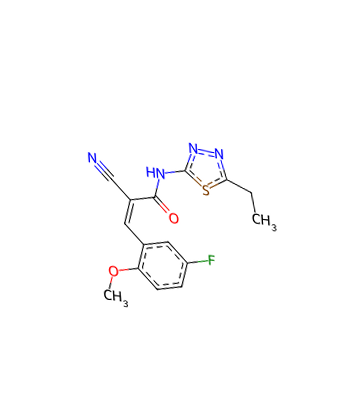 CCc1nnc(NC(=O)C(C#N)=Cc2cc(F)ccc2OC)s1